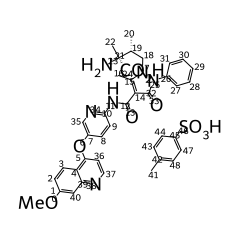 COc1ccc2c(Oc3ccc(NC(=O)c4c(C)n(C[C@@H](C)[C@](C)(N)C(=O)O)n(-c5ccccc5)c4=O)nc3)ccnc2c1.Cc1ccc(S(=O)(=O)O)cc1